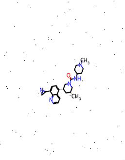 C[C@@H]1C[C@H](c2ccc(C3C=N3)c3ncccc23)CN(C(=O)NC2CCN(C)CC2)C1